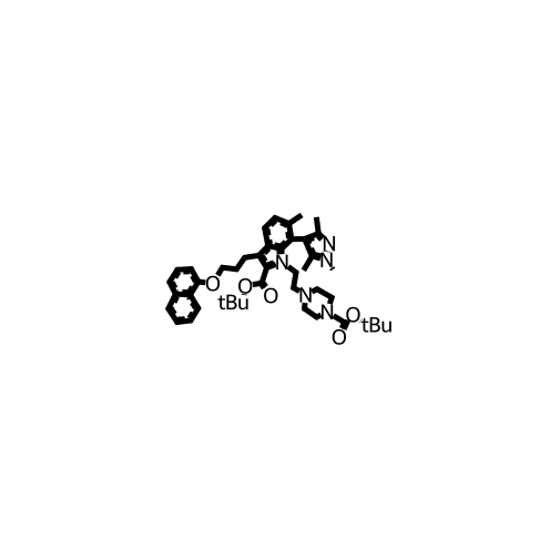 Cc1ccc2c(CCCOc3cccc4ccccc34)c(C(=O)OC(C)(C)C)n(CCN3CCN(C(=O)OC(C)(C)C)CC3)c2c1-c1c(C)nn(C)c1C